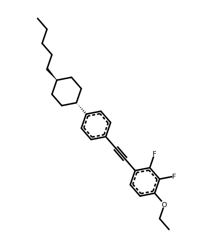 CCCCC[C@H]1CC[C@H](c2ccc(C#Cc3ccc(OCC)c(F)c3F)cc2)CC1